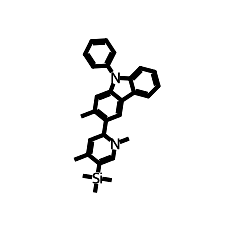 CC1=CC(c2cc3c4ccccc4n(-c4ccccc4)c3cc2C)N(C)C=C1[Si](C)(C)C